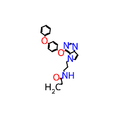 C=CC(=O)NCCCn1ccc2ncnc(Oc3ccc(Oc4ccccc4)cc3)c21